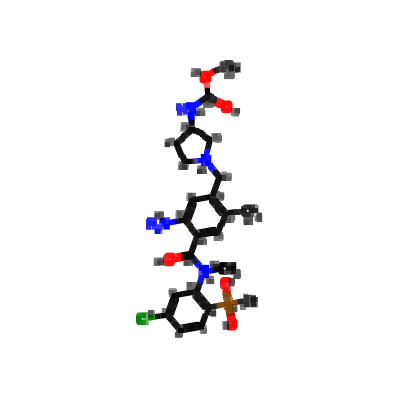 CCS(=O)(=O)c1ccc(Cl)cc1N(C)C(=O)c1cc(C(F)(F)F)c(CN2CC[C@@H](NC(=O)OC(C)(C)C)C2)cc1N